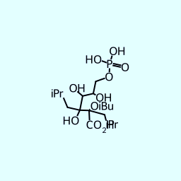 CC(C)CO[C@@](CC(C)C)(C(=O)O)C(O)(CC(C)C)C(O)C(O)COP(=O)(O)O